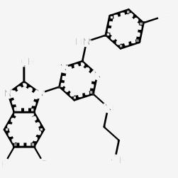 Cc1nc2cc(F)c(F)cc2n1-c1cc(NCCO)nc(Nc2ccc(C(F)(F)F)cc2)n1